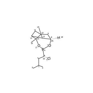 CC(C)C[C@@H](Cl)B1O[C@@H]2CC3CC(C2C)C3(C)O1